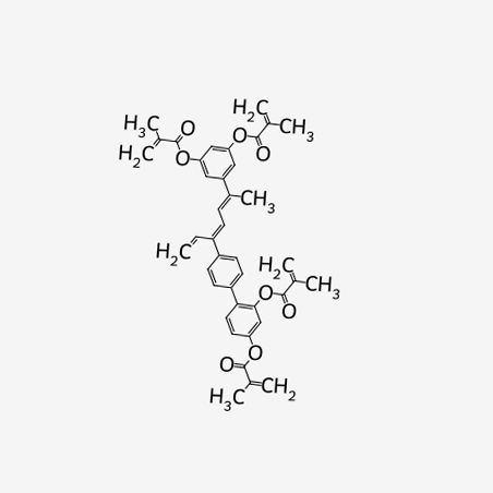 C=C/C(=C\C=C(/C)c1cc(OC(=O)C(=C)C)cc(OC(=O)C(=C)C)c1)c1ccc(-c2ccc(OC(=O)C(=C)C)cc2OC(=O)C(=C)C)cc1